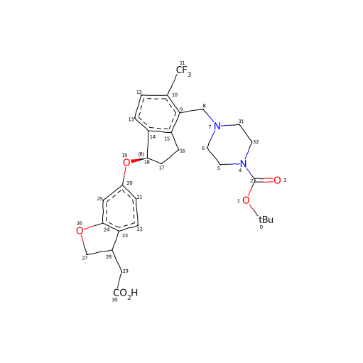 CC(C)(C)OC(=O)N1CCN(Cc2c(C(F)(F)F)ccc3c2CC[C@H]3Oc2ccc3c(c2)OCC3CC(=O)O)CC1